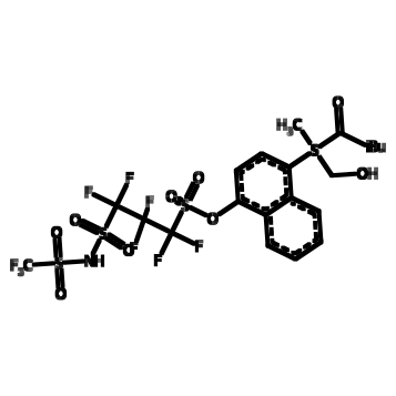 CCC(C)C(=O)S(C)(CO)c1ccc(OS(=O)(=O)C(F)(F)C(F)(F)C(F)(F)S(=O)(=O)NS(=O)(=O)C(F)(F)F)c2ccccc12